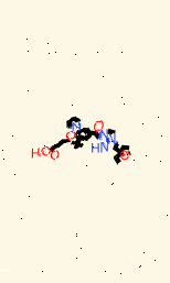 CCC(CC)(CCn1ccn(CC(=O)c2cc(N3CCCC3)c(OCCCCC(=O)O)c(C(C)(C)C)c2)c1=N)OC